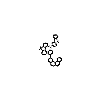 CC1(C)c2ccccc2-c2c(N(c3ccc(-c4ccc5ccc6ccc7ccccc7c6c5c4)cc3)c3ccc4sc5ccccc5c4c3)cccc21